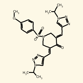 COc1ccc(S(=O)(=O)N2CC(=Cc3cn(C(C)C)nn3)C(=O)C(=Cc3cn(C(C)C)nn3)C2)cc1